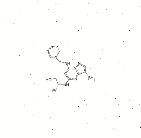 Bc1cnn2c(NCc3cccnc3)cc(N[C@@H](CO)C(C)C)nc12